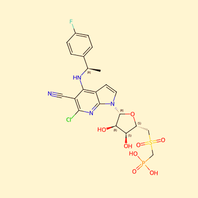 C[C@@H](Nc1c(C#N)c(Cl)nc2c1ccn2[C@@H]1O[C@H](CS(=O)(=O)CP(=O)(O)O)[C@@H](O)[C@H]1O)c1ccc(F)cc1